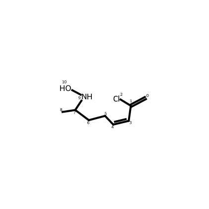 C=C(Cl)/C=C\CCC(C)NO